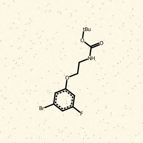 CC(C)(C)OC(=O)NCCOc1cc(F)cc(Br)c1